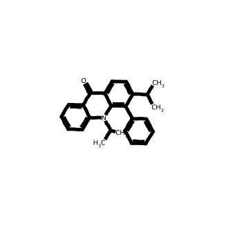 CC(C)c1ccc2c(=O)c3ccccc3n(C(C)C)c2c1-c1ccccc1